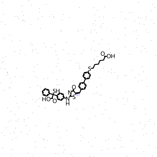 O=C(O)CCCCCSc1ccc(-c2ccc(/C=C3/SC(Nc4ccc(C(S)(C(=O)O)c5ccccc5)cc4)=NC3=O)cc2)cc1